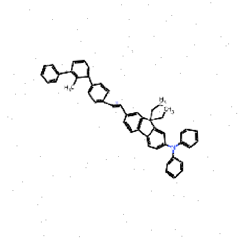 CCC1(CC)c2cc(/C=C/c3ccc(-c4cccc(-c5ccccc5)c4C)cc3)ccc2-c2ccc(N(c3ccccc3)c3ccccc3)cc21